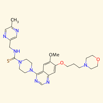 COc1cc2c(N3CCN(C(=S)NCc4cnc(C)cn4)CC3)ncnc2cc1OCCCN1CCOCC1